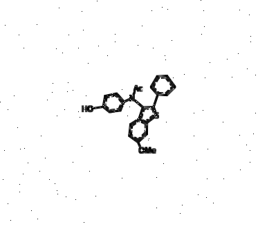 COc1ccc2c(N(C(C)=O)c3ccc(O)cc3)c(-c3ccccc3)sc2c1